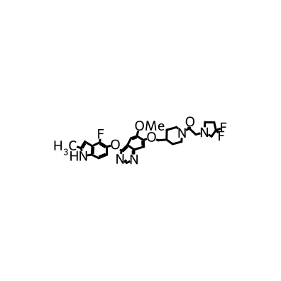 COc1cc2c(Oc3ccc4[nH]c(C)cc4c3F)ncnc2cc1OCC1CCN(C(=O)CN2CCC(F)(F)C2)CC1